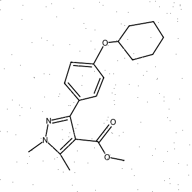 COC(=O)c1c(-c2ccc(OC3CCCCC3)cc2)nn(C)c1C